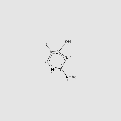 CC(=O)Nc1ncc(C)c(O)n1